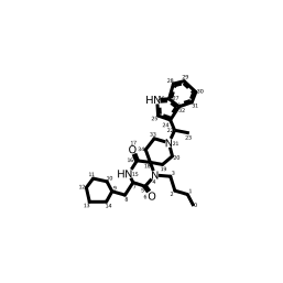 CCCCN1C(=O)C(CC2CCCCC2)NC(=O)C12CCN(C(C)c1c[nH]c3ccccc13)CC2